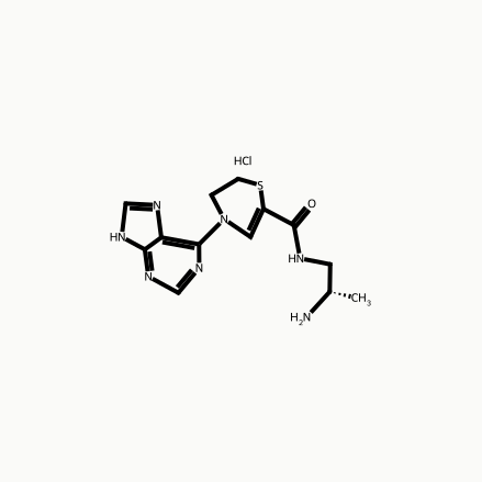 C[C@H](N)CNC(=O)C1=CN(c2ncnc3[nH]cnc23)CCS1.Cl